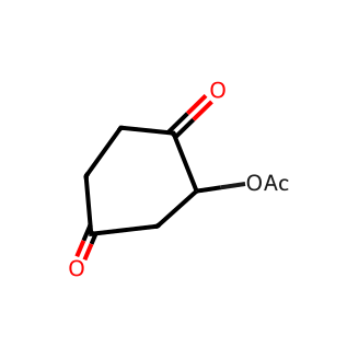 CC(=O)OC1CC(=O)CCC1=O